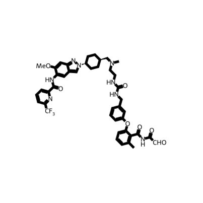 COc1cc2nn([C@H]3CC[C@H](CN(C)CCNC(=O)NCc4cccc(Oc5cccc(C)c5C(=O)NC(=O)C=O)c4)CC3)cc2cc1NC(=O)c1cccc(C(F)(F)F)n1